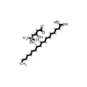 CCCCCCCCCCCCCCCCCC(O)O.C[N+](C)(C)CC(O)CC(=O)[O-]